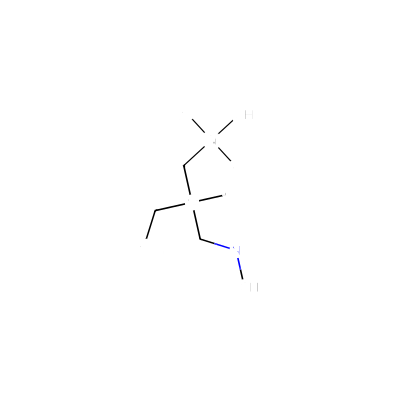 CC[Si](C)(CNC)C[Si](C)(C)C